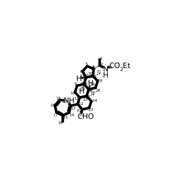 CCOC(=O)NC(C)[C@H]1CC[C@H]2[C@@H]3CCC4C(C5=CC(C)=CC=CN5)C(C=O)CC[C@]4(C)[C@H]3CC[C@]12C